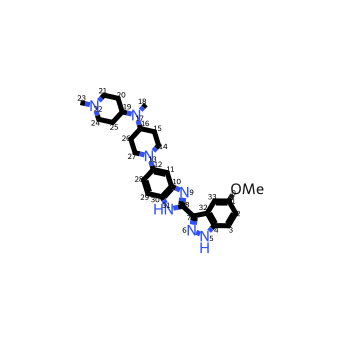 COc1ccc2[nH]nc(-c3nc4cc(N5CCC(N(C)C6CCN(C)CC6)CC5)ccc4[nH]3)c2c1